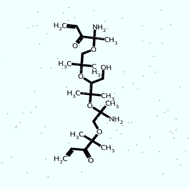 C=CC(=O)C(C)(C)OCC(C)(N)OC(C)(C)C(CO)OC(C)(C)COC(C)(N)C(=O)C=C